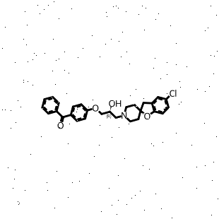 O=C(c1ccccc1)c1ccc(OC[C@H](O)CN2CCC3(CC2)Cc2cc(Cl)ccc2O3)cc1